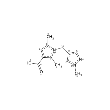 Cc1cc(C(=O)O)c(C)n1Cc1cnn(C)c1